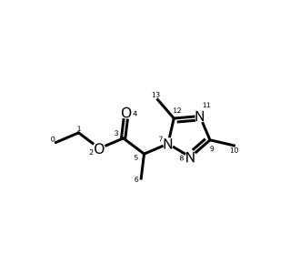 CCOC(=O)C(C)n1nc(C)nc1C